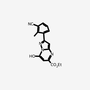 CCOC(=O)c1cc(O)n2nc(-c3cccc(C#N)c3C)cc2n1